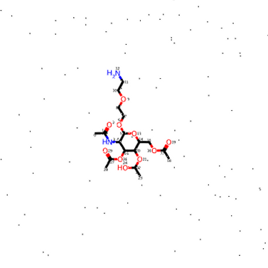 CC(=O)NC1C(OCCOCCN)OC(COC(C)=O)C(OC(C)O)C1OC(C)=O